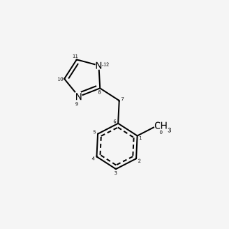 Cc1ccccc1CC1=NC=C[N]1